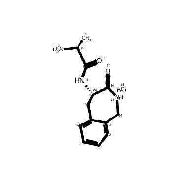 C[C@H](N)C(=O)N[C@H]1Cc2ccccc2CNC1=O.Cl